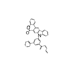 C=C/C=C\C(=C)c1cc(-c2ccccc2)cc(-n2c3ccccc3c3cc4c(cc32)c(=O)oc2ccccc24)c1